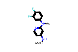 CONc1ccnc(N(C(C)=O)c2ccc(F)c(F)c2)c1